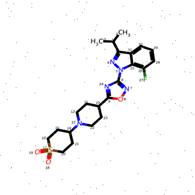 CC(C)c1nn(-c2noc(C3CCN(C4CCS(=O)(=O)CC4)CC3)n2)c2c(F)cccc12